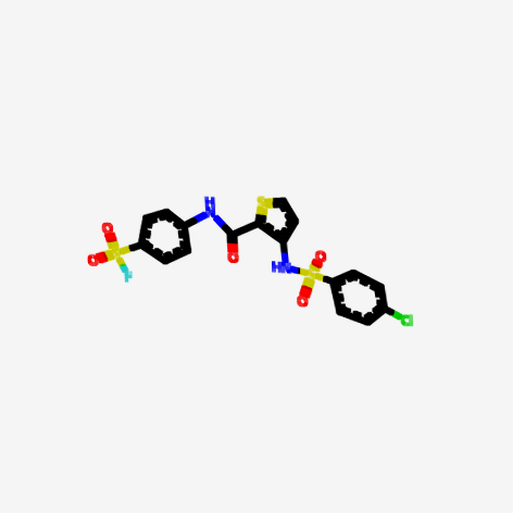 O=C(Nc1ccc(S(=O)(=O)F)cc1)c1sccc1NS(=O)(=O)c1ccc(Cl)cc1